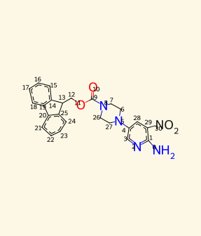 Nc1ncc(N2CCN(C(=O)OCC3c4ccccc4-c4ccccc43)CC2)cc1[N+](=O)[O-]